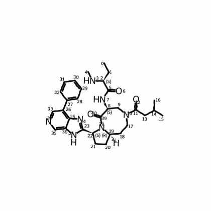 CC[C@H](NC)C(=O)N[C@H]1CN(C(=O)CC(C)C)CC[C@H]2CC[C@@H](c3nc4c(-c5ccccc5)cncc4[nH]3)N2C1=O